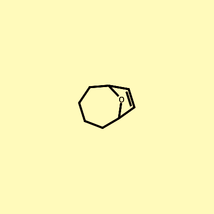 C1=CC2CCCCC1O2